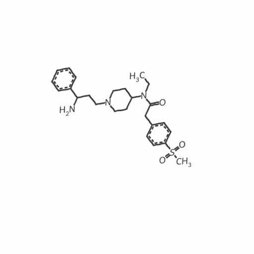 CCN(C(=O)Cc1ccc(S(C)(=O)=O)cc1)C1CCN(CCC(N)c2ccccc2)CC1